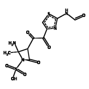 CC1(N)C(C(=O)C(=O)c2csc(NC=O)n2)C(=O)N1S(=O)(=O)O